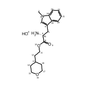 Cl.Cn1cc(C[C@@H](N)C(=O)OCCC2CCOCC2)c2ccccc21